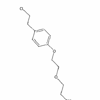 NCCOCCOc1ccc(CCCl)cc1